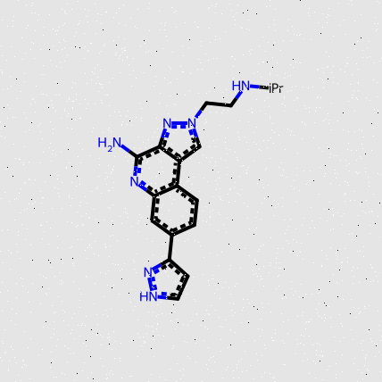 CC(C)NCCn1cc2c(n1)c(N)nc1cc(-c3cc[nH]n3)ccc12